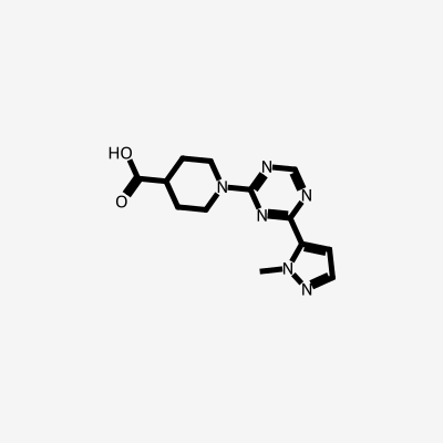 Cn1nccc1-c1ncnc(N2CCC(C(=O)O)CC2)n1